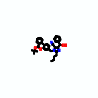 CCCCc1nc(C(O)c2ccccc2)c(C#N)n1Cc1ccc(-c2ccccc2C(=O)OC(C)(C)C)cc1